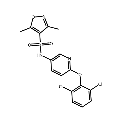 Cc1noc(C)c1S(=O)(=O)Nc1ccc(Oc2c(Cl)cccc2Cl)nc1